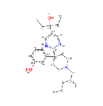 CCCC(C)CN1CCC(c2cccc(O)c2)(c2ncc(C(O)(CC)CC)cn2)CC1